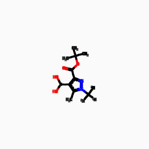 [2H]C([2H])([2H])n1nc(C(=O)OC(C)(C)C)c(B(O)O)c1C